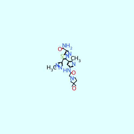 Cc1ncc(NC(=O)CN2CCC3(COC3)C2)cc1-c1c(-c2cnn(C)c2)sc2c(C(N)=O)cnn12